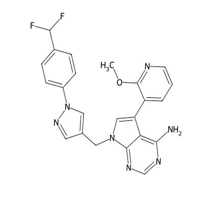 COc1ncccc1-c1cn(Cc2cnn(-c3ccc(C(F)F)cc3)c2)c2ncnc(N)c12